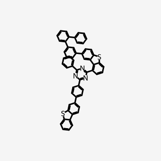 c1ccc(-c2nc(-c3ccc(-c4ccc5c(c4)sc4ccccc45)cc3)nc(-c3cccc4sc5ccc(-c6cccc(-c7ccccc7-c7ccccc7)c6)cc5c34)n2)cc1